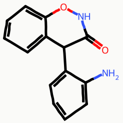 Nc1ccccc1C1C(=O)NOc2ccccc21